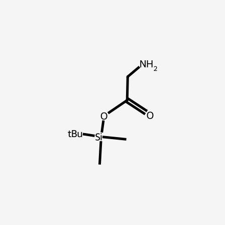 CC(C)(C)[Si](C)(C)OC(=O)CN